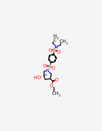 CCOC(=O)C1C[C@H](O)CN(S(=O)(=O)c2ccc(S(=O)(=O)N(CC)CC)cc2)C1